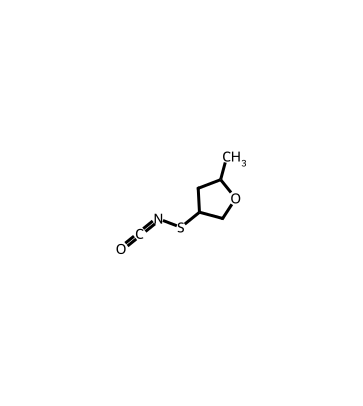 CC1CC(SN=C=O)CO1